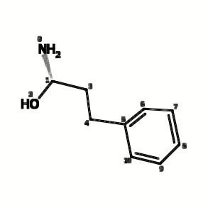 N[C@@H](O)CCc1ccccc1